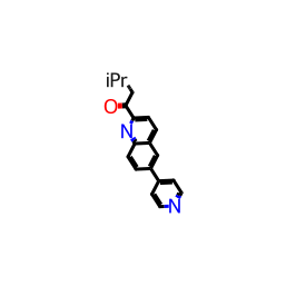 CC(C)CC(=O)c1ccc2cc(-c3ccncc3)ccc2n1